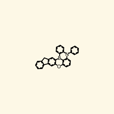 c1ccc(N2c3ccccc3B3c4cc5c(cc4Oc4cccc2c43)-c2ccccc2C5)cc1